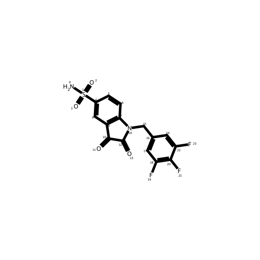 NS(=O)(=O)c1ccc2c(c1)C(=O)C(=O)N2Cc1cc(F)c(F)c(F)c1